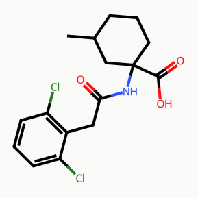 CC1CCCC(NC(=O)Cc2c(Cl)cccc2Cl)(C(=O)O)C1